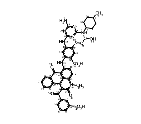 CC1CCC(Nc2nc(N)nc(Nc3cc(Nc4ccc5c6c4C(=O)c4ccccc4-c6c(C(=O)c4cccc(S(=O)(=O)O)c4)c(=O)n5C)c(S(=O)(=O)O)cc3SOOO)n2)CC1